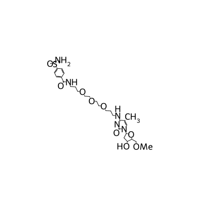 COCC1OC(n2cc(C)c(NCCCOCCOCCOCCCNC(=O)c3ccc([S+](N)[O-])cc3)nc2=O)CC1O